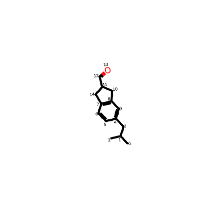 CC(C)Cc1ccc2c(c1)CC(C=O)C2